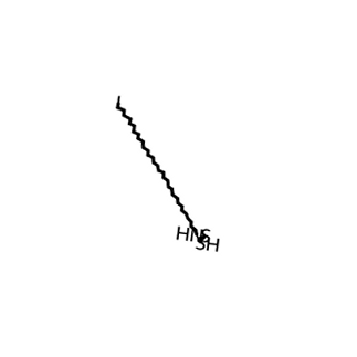 S=C(S)NCCCCCCCCCCCCCCCCCCCCCCCCCCCCCCCCI